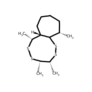 C[C@@H]1SS[C@H](C)[C@@H]2CCCC[C@H](C)C2SS[C@@H]1C